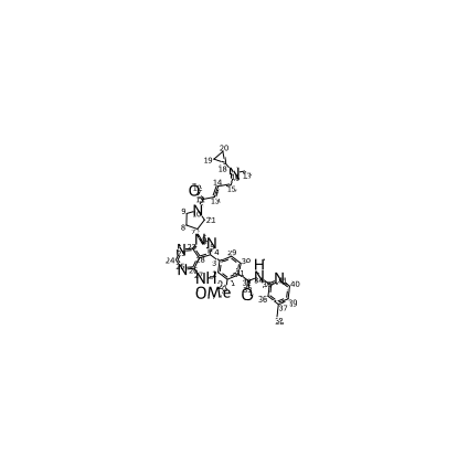 COc1cc(-c2nn([C@@H]3CCN(C(=O)/C=C/CN(C)C4CC4)C3)c3ncnc(N)c23)ccc1C(=O)Nc1cc(C)ccn1